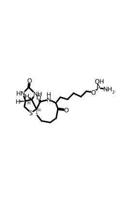 NP(O)OCCCCCC1NC(=O)[C@@]2(CCCCC1=O)SC[C@@H]1NC(=O)N[C@@H]12